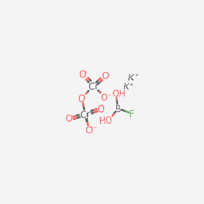 OB(O)F.[K+].[K+].[O]=[Cr](=[O])([O-])[O][Cr](=[O])(=[O])[O-]